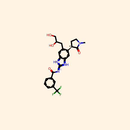 CN1CC[C@H](c2cc3[nH]/c(=N/C(=O)c4cccc(C(F)(F)F)c4)[nH]c3cc2CC(O)CO)C1=O